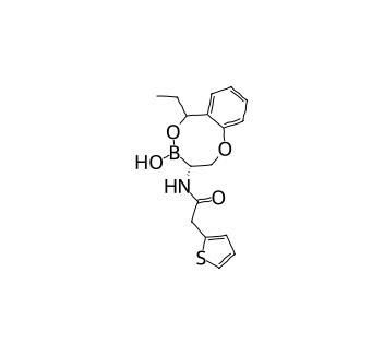 CCC1OB(O)[C@@H](NC(=O)Cc2cccs2)COc2ccccc21